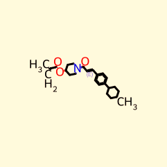 C=C(C)C(=O)OC1CCN(C(=O)/C=C/c2ccc(C3CCC(C)CC3)cc2)CC1